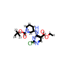 CCOC(=O)c1cnc(Cl)nc1N[C@H]1CCCN(C(=O)OC(C)(C)C)C1